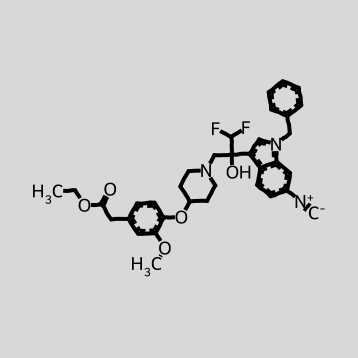 [C-]#[N+]c1ccc2c(C(O)(CN3CCC(Oc4ccc(CC(=O)OCC)cc4OC)CC3)C(F)F)cn(Cc3ccccc3)c2c1